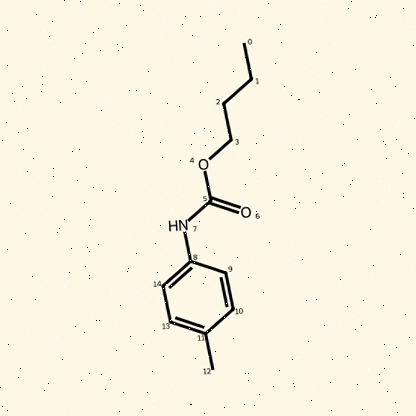 CCCCOC(=O)Nc1ccc(C)cc1